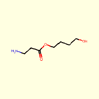 NCCC(=O)OCCCCO